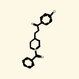 O=C(CCC1CCN(C(=O)c2ccccc2)CC1)c1ccc(Cl)cc1